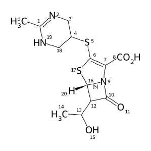 CC1=NCC(SC2=C(C(=O)O)N3C(=O)C(C(C)O)[C@@H]3S2)CN1